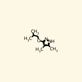 Cc1[nH]nc(OCC(C)C)c1C